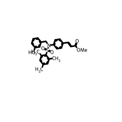 COC(=O)C=Cc1ccc(N(Cc2cccc(O)c2)S(=O)(=O)c2c(C)cc(C)cc2C)cc1